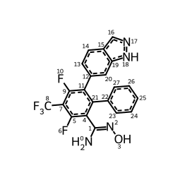 NC(=NO)c1c(F)c(C(F)(F)F)c(F)c(-c2ccc3cn[nH]c3c2)c1-c1ccccc1